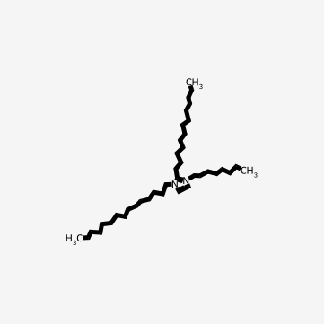 CCCCCCCCCCCCCCC[n+]1ccn(CCCCCCCC)c1CCCCCCCCCCCCC